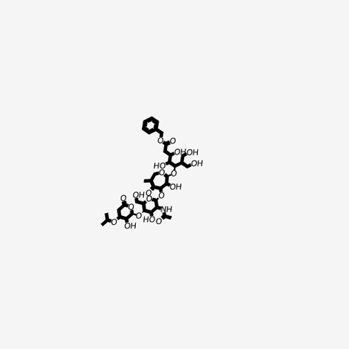 CC(=O)NC1C(O)[C@H](O[C@@H]2OC(=O)CC(OC(C)C)C2O)C(CO)O[C@H]1OC1C(=O)C(C)CO[C@@H](O[C@H](C(CO)CO)C(O)C(O)CC(=O)OCc2ccccc2)C1O